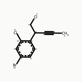 CC#CC(CCl)c1ccc(Br)cc1Cl